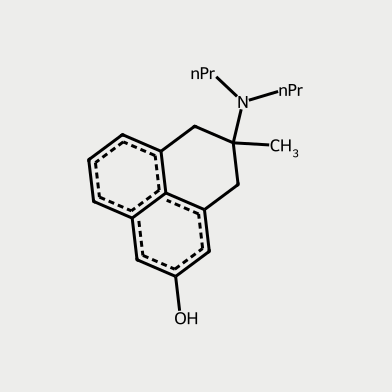 CCCN(CCC)C1(C)Cc2cccc3cc(O)cc(c23)C1